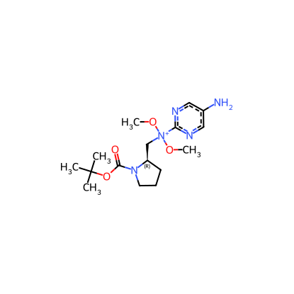 CO[N+](C[C@H]1CCCN1C(=O)OC(C)(C)C)(OC)c1ncc(N)cn1